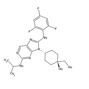 CC(C)Nc1ncc2nc(Nc3c(F)cc(F)cc3F)n([C@H]3CC[C@@](O)(CO)CC3)c2n1